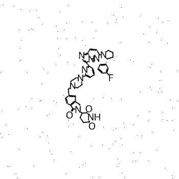 O=C1CCC(N2Cc3cc(CN4CCN(c5cccc(-c6cnc7ccc(N8CCC[C@@H]8c8cccc(F)c8)nn67)n5)CC4)ccc3C2=O)C(=O)N1